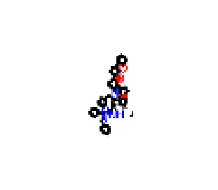 C/C(=C\C(=C(/Cc1ccccc1)n1c2ccccc2c2c3oc4c(ccc5c6ccccc6oc54)c3ccc21)c1ccccc1)C(=N)/N=C(\N=C\c1ccccc1)c1ccccc1